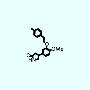 COc1ccc(C2CNC(=O)C2)cc1OCCc1ccc(C)cc1